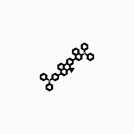 c1ccc(N(c2ccccc2)c2ccc(-c3ccc4c5c(cccc35)-c3ccc(-c5ccc(N(c6ccccc6)c6ccccc6)c6ccccc56)cc3C43CC3)cc2)cc1